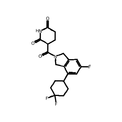 O=C1CCC(C(=O)N2Cc3cc(F)cc(C4CCC(F)(F)CC4)c3C2)C(=O)N1